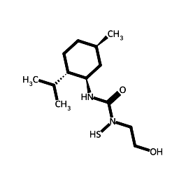 CC(C)[C@@H]1CC[C@@H](C)C[C@H]1NC(=O)N(S)CCO